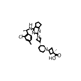 Cc1ccc([C@@H](C)Nc2nc(N3CC([C@H]4CCCN([C@H]5C[C@](C)(C(=O)O)C5)C4)C3)nc3c2CCC3)c(Cl)c1